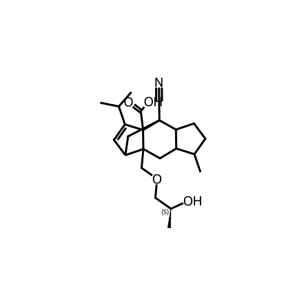 CC(C)C1=CC2CC3(C#N)C4CCC(C)C4CC2(COC[C@H](C)O)C13C(=O)O